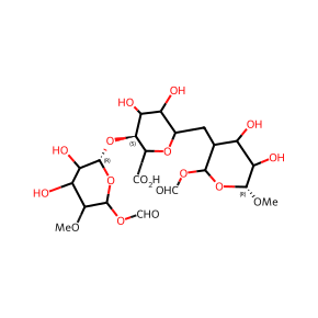 COC1C(OC=O)O[C@@H](O[C@@H]2C(C(=O)O)OC(CC3C(OC=O)O[C@@H](OC)C(O)C3O)C(O)C2O)C(O)C1O